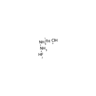 Cl.F.F.N.N